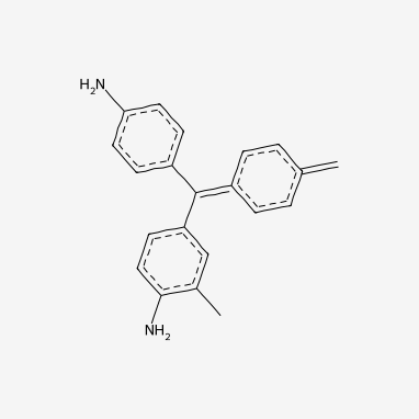 C=c1ccc(=C(c2ccc(N)cc2)c2ccc(N)c(C)c2)cc1